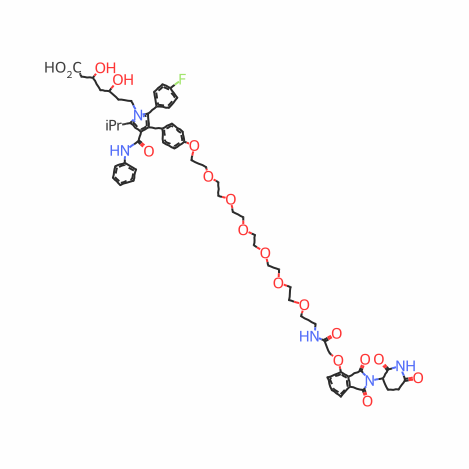 CC(C)c1c(C(=O)Nc2ccccc2)c(-c2ccc(OCCOCCOCCOCCOCCOCCOCCNC(=O)COc3cccc4c3C(=O)N(C3CCC(=O)NC3=O)C4=O)cc2)c(-c2ccc(F)cc2)n1CCC(O)CC(O)CC(=O)O